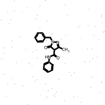 CC1=NN(Cc2ccccc2)C(=O)C1C(=O)Nc1ccccc1